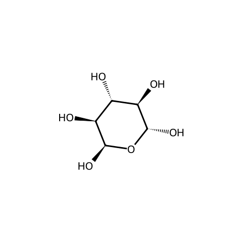 O[C@@H]1[C@@H](O)[C@H](O)O[C@@H](O)[C@H]1O